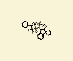 COC1C(N(S(C)(=O)=O)S(=O)(=O)C(F)(F)C(=O)N2CCCCC2)c2ccccc2C12OCCO2